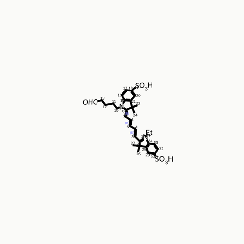 CC[N+]1=C(/C=C/C=C/C=C2/N(CCCCC=O)c3ccc(S(=O)(=O)O)cc3C2(C)C)C(C)(C)c2cc(S(=O)(=O)O)ccc21